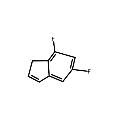 Fc1cc(F)c2c(c1)C=C[CH]2